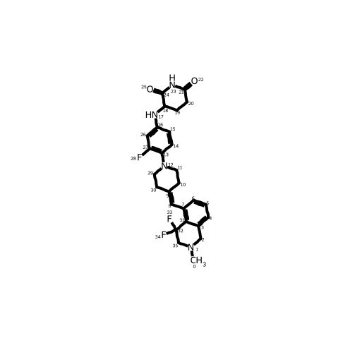 CN1Cc2cccc(C=C3CCN(c4ccc(NC5CCC(=O)NC5=O)cc4F)CC3)c2C(F)(F)C1